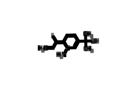 C=C/C(I)=C1/C=CC(C(C)(C)O)=CN1N